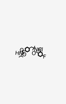 CC(C)NS(=O)(=O)c1ccc(CC(C)(C)NC(=O)c2ccc(F)cc2Cl)cc1